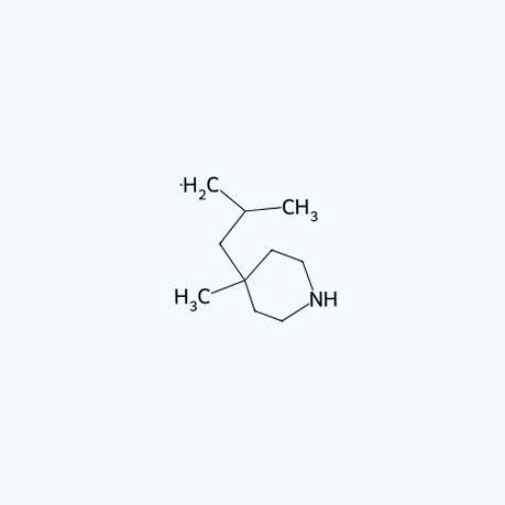 [CH2]C(C)CC1(C)CCNCC1